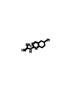 CC(C)C1CCc2nc(NC(=N)N)ncc2C1